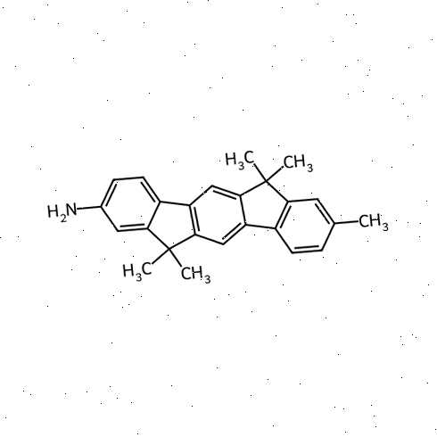 Cc1ccc2c(c1)C(C)(C)c1cc3c(cc1-2)C(C)(C)c1cc(N)ccc1-3